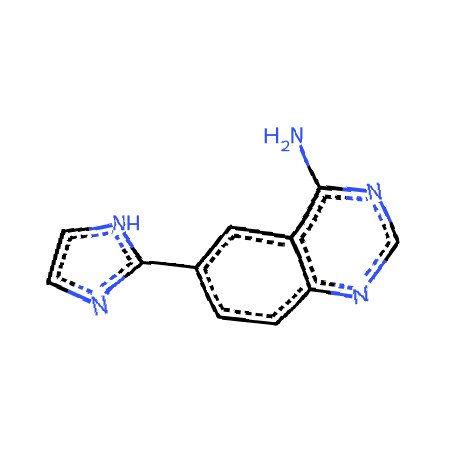 Nc1ncnc2ccc(-c3ncc[nH]3)cc12